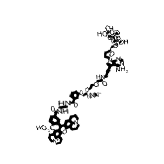 CP(=O)(O)OP(=O)([O-])OP(=O)(O)OC[C@@H]1CC[C@H](n2cc(C#CCNC(=O)COCCOC(COc3cccc(C(=O)NCCNC(=O)c4ccc(C(=O)O)c(C5=c6cc7c8c(c6Oc6c5cc5c9c6CCCN9CCC5)CCC[N+]=8CCC7)c4)c3)N=[N+]=[N-])c3c(N)ncnc32)O1